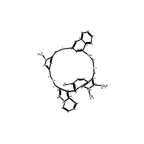 Cn1nc2cc1CSc1cc(c3ccccc3c1)OCCCc1c(C(=O)O)n(C)c3c(c(Cl)ccc13)-c1c(nn3ccccc13)CSC2